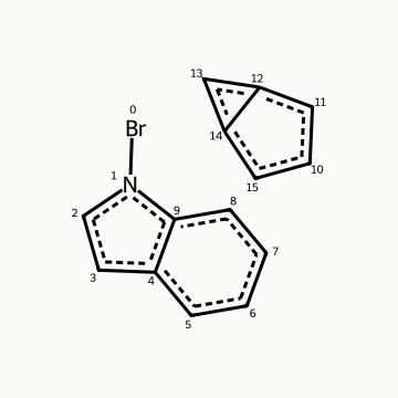 Brn1ccc2ccccc21.c1cc2cc-2c1